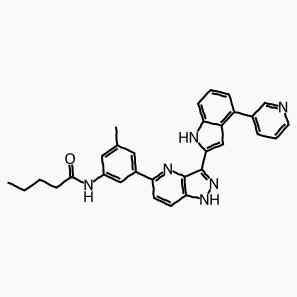 CCCCC(=O)Nc1cc(C)cc(-c2ccc3[nH]nc(-c4cc5c(-c6cccnc6)cccc5[nH]4)c3n2)c1